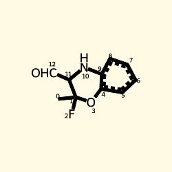 CC1(F)Oc2ccccc2NC1C=O